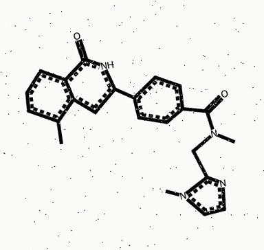 Cc1cccc2c(=O)[nH]c(-c3ccc(C(=O)N(C)Cc4nccn4C)cc3)cc12